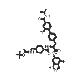 CC(C)NC(=O)c1ccc(-c2ccc(CC(NC(=O)C3CCC(CNC(=O)OC(C)(C)C)CC3)C(=O)Nc3cc(F)c4cn[nH]c4c3)cc2)c(Cl)c1